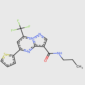 CCCNC(=O)c1cnn2c(C(F)(F)F)cc(-c3cccs3)nc12